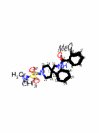 COc1ccccc1C(=O)NCC1(c2ccccc2)CCN(S(=O)(=O)N(C)C)CC1